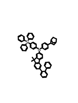 CC1(C)c2ccc(-c3ccccc3-c3ccccc3)cc2-c2ccc(N(c3ccc(C4CC5CCC4C5)cc3)c3ccc([Si](c4ccccc4)(c4ccccc4)c4ccccc4)cc3)cc21